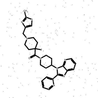 Cc1nc(CN2CCC(F)(C(=O)N3CCC(n4c(-c5ccccn5)nc5cccnc54)CC3)CC2)cs1